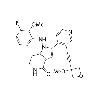 COc1c(F)cccc1Nn1c(-c2ccncc2C#CC2(OC)COC2)cc2c1CCNC2=O